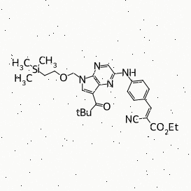 CCOC(=O)C(C#N)=Cc1ccc(Nc2cnc3c(n2)c(C(=O)C(C)(C)C)cn3COCC[Si](C)(C)C)cc1